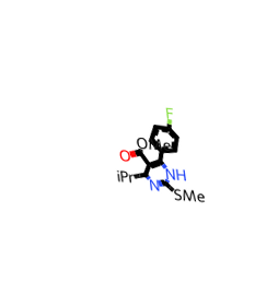 COC(=O)C1=C(c2ccc(F)cc2)NC(SC)=NC1C(C)C